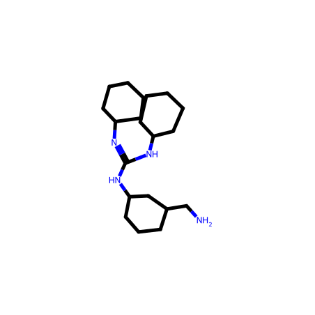 NCC1CCCC(N/C(=N/C2CCCCC2)NC2CCCCC2)C1